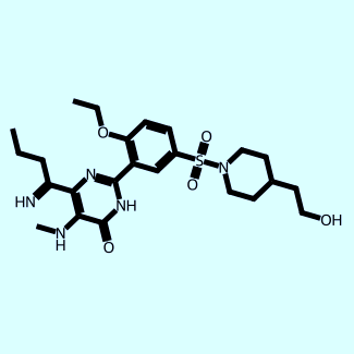 CCCC(=N)c1nc(-c2cc(S(=O)(=O)N3CCC(CCO)CC3)ccc2OCC)[nH]c(=O)c1NC